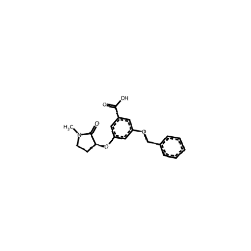 CN1CC[C@H](Oc2cc(OCc3ccccc3)cc(C(=O)O)c2)C1=O